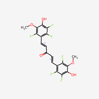 COc1c(O)c(F)c(F)c(/C=C/C(=O)/C=C/c2c(F)c(F)c(O)c(OC)c2F)c1F